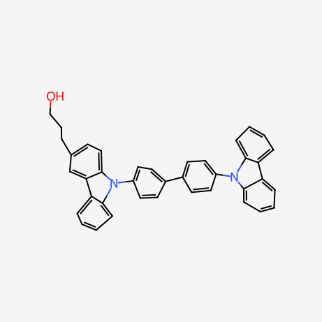 OCCCc1ccc2c(c1)c1ccccc1n2-c1ccc(-c2ccc(-n3c4ccccc4c4ccccc43)cc2)cc1